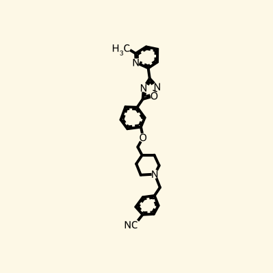 Cc1cccc(-c2noc(-c3cccc(OCC4CCN(Cc5ccc(C#N)cc5)CC4)c3)n2)n1